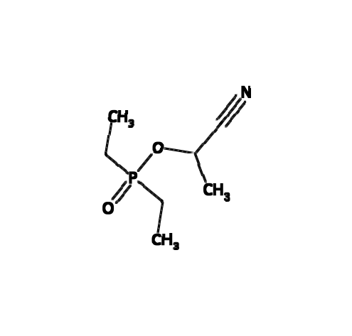 CCP(=O)(CC)OC(C)C#N